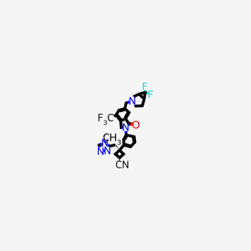 Cn1cnnc1C[C@]1(c2cccc(N3Cc4c(cc(CN5CCC6C(C5)C6(F)F)cc4C(F)(F)F)C3=O)c2)C[C@H](C#N)C1